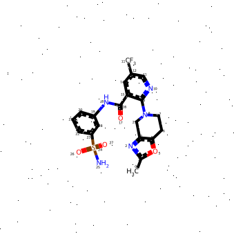 Cc1nc2c(o1)CCN(c1ncc(C(F)(F)F)cc1C(=O)Nc1cccc(S(N)(=O)=O)c1)C2